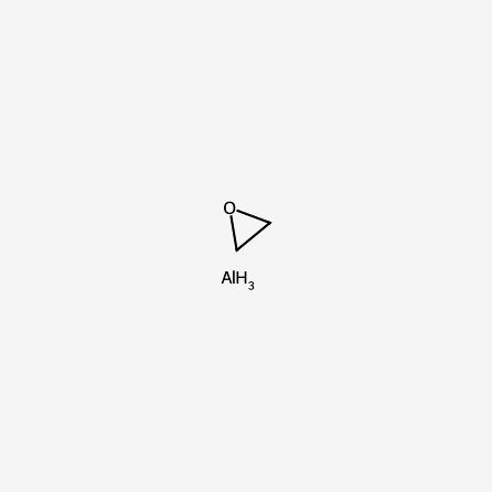 C1CO1.[AlH3]